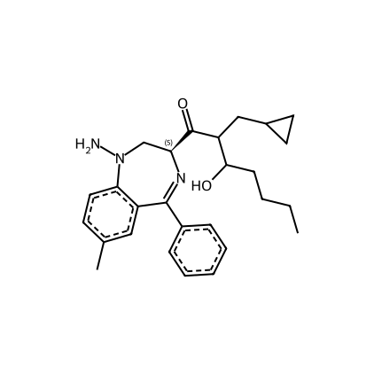 CCCCC(O)C(CC1CC1)C(=O)[C@@H]1CN(N)c2ccc(C)cc2C(c2ccccc2)=N1